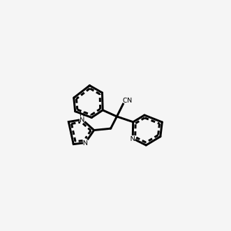 N#CC(Cc1ncc[nH]1)(c1ccccc1)c1ccccn1